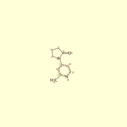 Cc1cc(N2CCCC2=O)ccn1